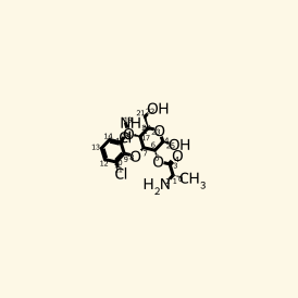 C[C@H](N)C(=O)O[C@@H]1[C@@H](Oc2c(Cl)cccc2Cl)[C@@H](ON)[C@@H](CO)O[C@H]1O